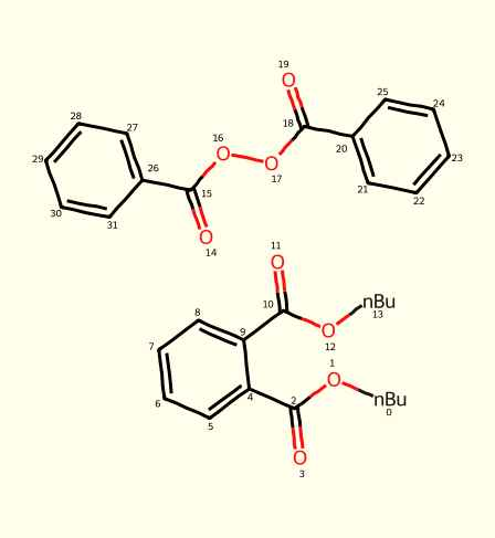 CCCCOC(=O)c1ccccc1C(=O)OCCCC.O=C(OOC(=O)c1ccccc1)c1ccccc1